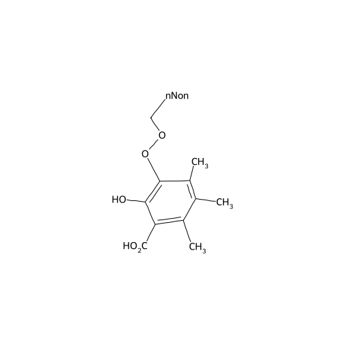 CCCCCCCCCCOOc1c(C)c(C)c(C)c(C(=O)O)c1O